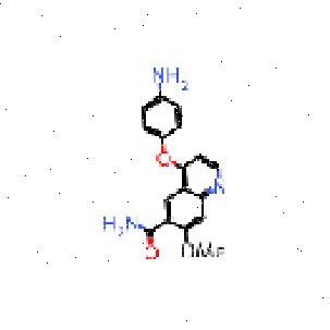 COc1cc2nccc(Oc3ccc(N)cc3)c2cc1C(N)=O